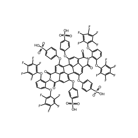 O=C1c2cc(Oc3ccc(S(=O)(=O)O)cc3)c3c4c(Oc5ccc(S(=O)(=O)O)cc5)cc5c6c(cc(Oc7ccc(S(=O)(=O)O)cc7)c(c7c(Oc8ccc(S(=O)(=O)O)cc8)cc(c2c37)C(=O)N1c1c(Oc2c(F)c(F)c(F)c(F)c2F)cccc1Oc1c(F)c(F)c(F)c(F)c1F)c64)C(=O)N(c1c(Oc2c(F)c(F)c(F)c(F)c2F)cccc1Oc1c(F)c(F)c(F)c(F)c1F)C5=O